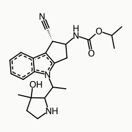 CC(C)OC(=O)NC1Cc2c(c3ccccc3n2C(C)C2NCCC2(C)O)[C@@H]1C#N